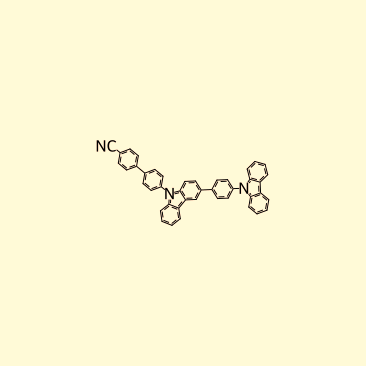 N#Cc1ccc(-c2ccc(-n3c4ccccc4c4cc(-c5ccc(-n6c7ccccc7c7ccccc76)cc5)ccc43)cc2)cc1